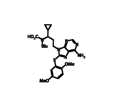 COc1ccc(OC)c(Sc2nc3c(N)ncnc3n2CCC(C2CC2)N(C(=O)O)C(C)(C)C)c1